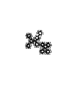 c1ccc(-c2ccc(N(c3cccc(-c4ccc5c(c4)c(-c4ccccc4)c(-c4ccccc4)c4ccccc45)c3)c3cc(-c4ccccc4)cc(-c4ccccc4)c3)cc2)cc1